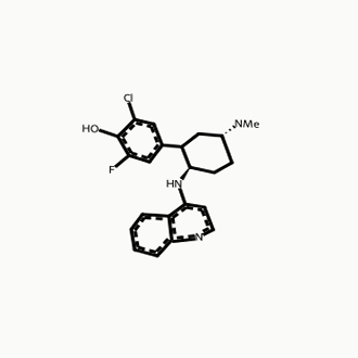 CN[C@@H]1CC[C@@H](Nc2ccnc3ccccc23)C(c2cc(F)c(O)c(Cl)c2)C1